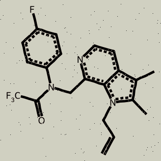 C=CCn1c(C)c(C)c2ccnc(CN(C(=O)C(F)(F)F)c3ccc(F)cc3)c21